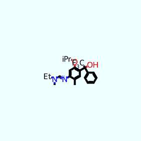 CCN(C)/C=N/c1cc(OC(C)C)c(C(O)(c2ccccc2)C(F)(F)F)cc1C